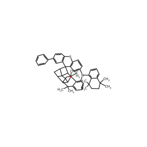 CC1(C)CCC(C)(C)c2c(N(c3ccc4c(c3)C3(c5cc(-c6ccccc6)ccc5S4)C4CC5CC6CC3C64C5)c3cccc4c3C(C)(C)CCC4(C)C)cccc21